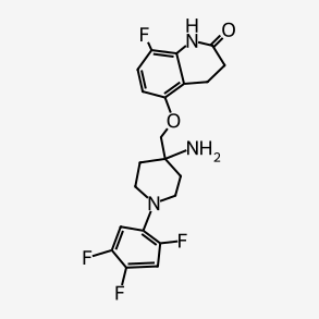 NC1(COc2ccc(F)c3c2CCC(=O)N3)CCN(c2cc(F)c(F)cc2F)CC1